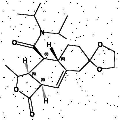 CC1OC(=O)[C@@H]2C=C3CC4(CC[C@H]3[C@H](C(=O)N(C(C)C)C(C)C)[C@H]12)OCCO4